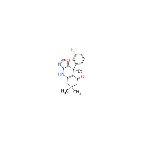 CCC1(c2cccc(F)c2)C2=C(CC(C)(C)CC2=O)Nc2ncoc21